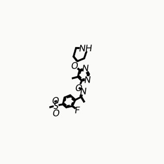 CC(=NOc1ncnc(OC2CCNCC2)c1C)c1ccc(S(C)(=O)=O)cc1F